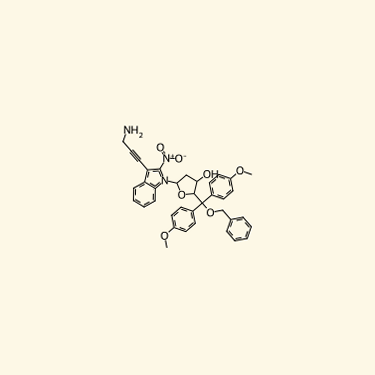 COc1ccc(C(OCc2ccccc2)(c2ccc(OC)cc2)C2OC(n3c([N+](=O)[O-])c(C#CCN)c4ccccc43)CC2O)cc1